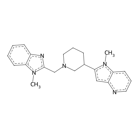 Cn1c(C2CCCN(Cc3nc4ccccc4n3C)C2)cc2ncccc21